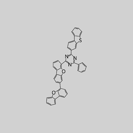 c1ccc(-c2nc(-c3ccc4c(c3)sc3ccccc34)nc(-c3cccc4c3oc3cc(-c5cccc6c5oc5ccccc56)ccc34)n2)cc1